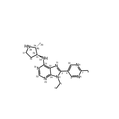 CCn1c(-c2cnc(C)nc2)nc2c(N[C@H]3CCN[C@@H]3C)ncnc21